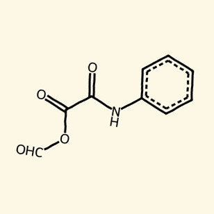 O=COC(=O)C(=O)Nc1ccccc1